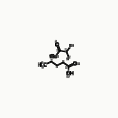 CC(C)(C)C(=O)C(F)F.CCCCC(=O)O